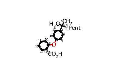 CCCCCC(C)(C)c1ccc(Oc2ccccc2C(=O)O)cc1